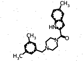 Cc1cc(C)cc(CN2CCN(C(=O)c3cc4cc(C)ccc4[nH]3)CC2)c1